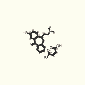 C=C1c2ccccc2CC(CCN(C)C)c2ccc(F)cc21.O=C(O)/C=C\C(=O)O